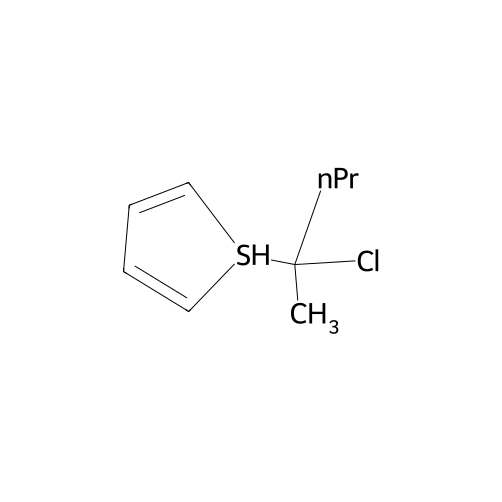 CCCC(C)(Cl)[SH]1C=CC=C1